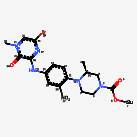 C[C@H]1CN(C(=O)OC(C)(C)C)CCN1c1ccc(Nc2nc(Br)cn(C)c2=O)cc1[N+](=O)[O-]